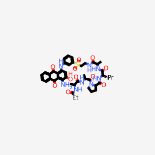 CCC(=O)NC(C)C(=O)NC(C)C(=O)N1CCCC1C(=O)NC(C(=O)NC(C)C(=O)NCCS(=O)(=O)c1cccc(Nc2cc(O)c(N)c3c2C(=O)c2ccccc2C3=O)c1)C(C)C